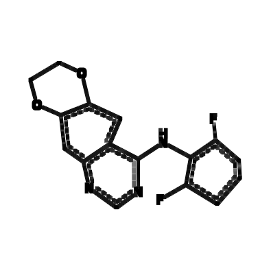 Fc1cccc(F)c1Nc1ncnc2cc3c(cc12)OCCO3